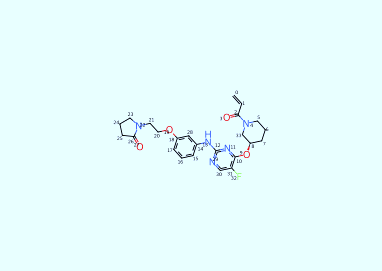 C=CC(=O)N1CCC[C@@H](Oc2nc(Nc3cccc(OCCN4CCCC4=O)c3)ncc2F)C1